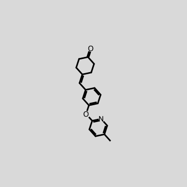 Cc1ccc(Oc2cccc(C=C3CCC(=O)CC3)c2)nc1